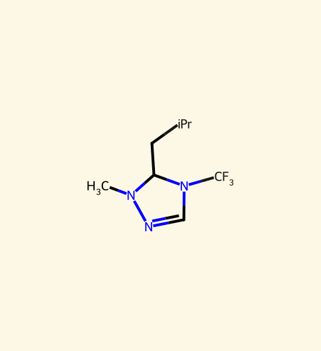 CC(C)CC1N(C)N=CN1C(F)(F)F